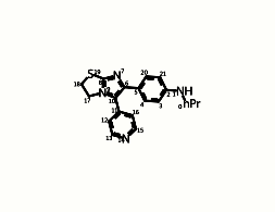 CCCNc1ccc(-c2nc3n(c2-c2ccncc2)CCS3)cc1